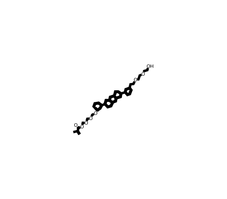 C=C(C)C(=O)OCOCOCOc1cccc(-c2ccc3cc4cc(-c5cccc(CCOCCOCCO)c5)ccc4cc3c2)c1